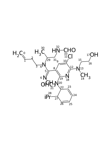 C=CCCN(/C(=N/C)c1cc(Cl)c(N(C)CCO)nc1N(C=O)C1C=CC=CC1C(C)C)C(C)CNC=O